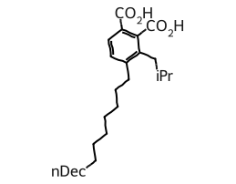 CCCCCCCCCCCCCCCCCc1ccc(C(=O)O)c(C(=O)O)c1CC(C)C